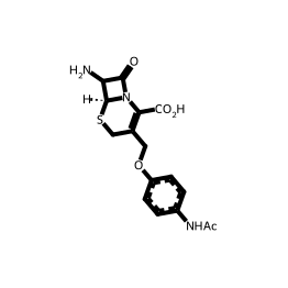 CC(=O)Nc1ccc(OCC2=C(C(=O)O)N3C(=O)C(N)[C@@H]3SC2)cc1